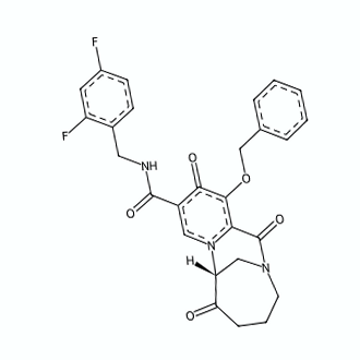 O=C(NCc1ccc(F)cc1F)c1cn2c(c(OCc3ccccc3)c1=O)C(=O)N1CCCC(=O)[C@H]2C1